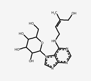 CC(=CCNc1ncnc2ncn(C3OC(CO)C(O)C(O)C3O)c12)CO